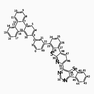 c1cc(-c2ccc3c4ccccc4c4ccccc4c3c2)cc(-c2cccc3c2sc2nc(-c4ncnc5c4sc4ccccc45)ccc23)c1